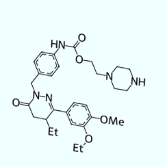 CCOc1cc(C2=NN(Cc3ccc(NC(=O)OCCN4CCNCC4)cc3)C(=O)CC2CC)ccc1OC